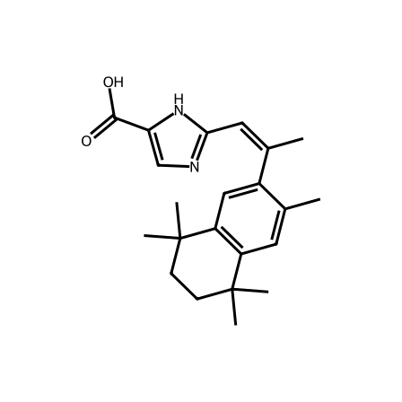 C/C(=C/c1ncc(C(=O)O)[nH]1)c1cc2c(cc1C)C(C)(C)CCC2(C)C